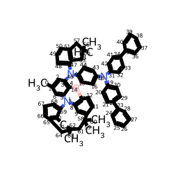 Cc1cc2c3c(c1)N1c4cc(ccc4B3c3cc(N(c4ccc(-c5ccccc5)cc4)c4ccc(-c5ccccc5)cc4)ccc3N2c2cccc3c2CC(C)(C)C3)C(C)(C)CC2(C)Cc3cccc1c3C2